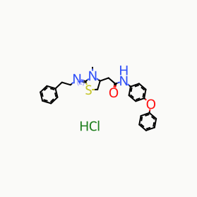 CN1/C(=N/CCc2ccccc2)SCC1CC(=O)Nc1ccc(Oc2ccccc2)cc1.Cl